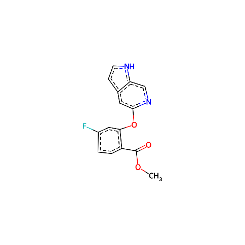 COC(=O)c1ccc(F)cc1Oc1cc2cc[nH]c2cn1